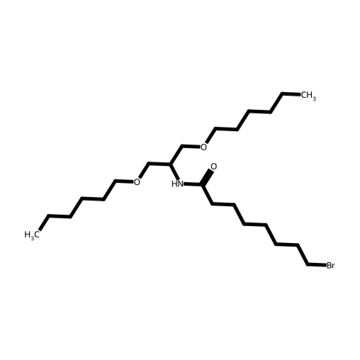 CCCCCCOCC(COCCCCCC)NC(=O)CCCCCCCBr